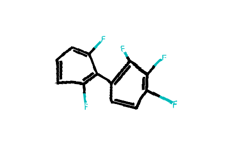 Fc1[c]ccc(F)c1-c1ccc(F)c(F)c1F